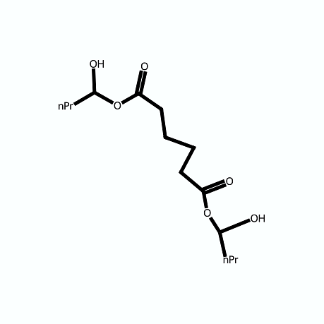 CCCC(O)OC(=O)CCCCC(=O)OC(O)CCC